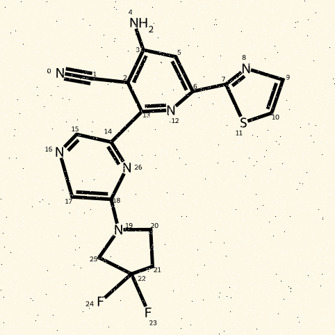 N#Cc1c(N)cc(-c2nccs2)nc1-c1cncc(N2CCC(F)(F)C2)n1